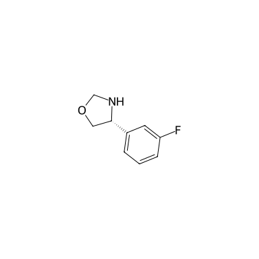 Fc1cccc([C@@H]2COCN2)c1